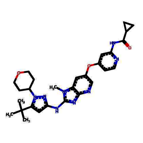 Cn1c(Nc2cc(C(C)(C)C)n(C3CCOCC3)n2)nc2ncc(Oc3ccnc(NC(=O)C4CC4)c3)cc21